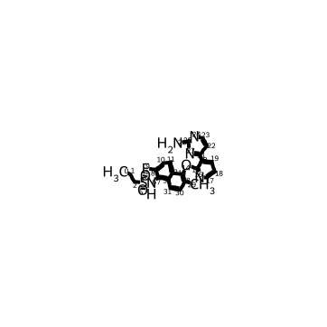 CCCS(=O)(=O)Nc1c(F)ccc2c(Oc3ncccc3-c3ccnc(N)n3)c(C)ccc12